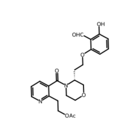 CC(=O)OCCc1ncccc1C(=O)N1CCOC[C@H]1CCOc1cccc(O)c1C=O